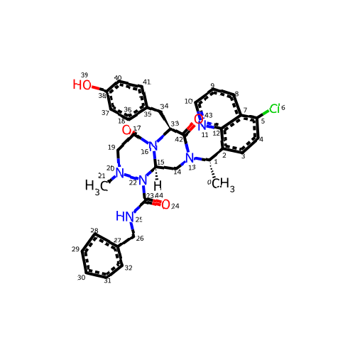 C[C@@H](c1ccc(Cl)c2cccnc12)N1C[C@@H]2N(C(=O)CN(C)N2C(=O)NCc2ccccc2)[C@@H](Cc2ccc(O)cc2)C1=O